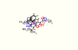 CCNC(=O)C(O)C(Cc1ccccc1)NC(=O)C(CC(C)C)NC(=O)NC(C)(C)C